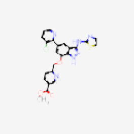 COC(=O)c1ccc(COc2cc(-c3ncccc3Cl)cc3c(Nc4nccs4)n[nH]c23)nc1